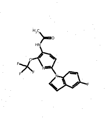 CC(=O)Nc1ccc(-n2ccc3cc(F)ccc32)nc1OC(F)(F)F